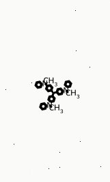 CN(c1ccccc1)c1ccc(C(c2ccc(N(C)c3ccccc3)cc2)c2ccc(N(C)c3ccccc3)cc2)cc1